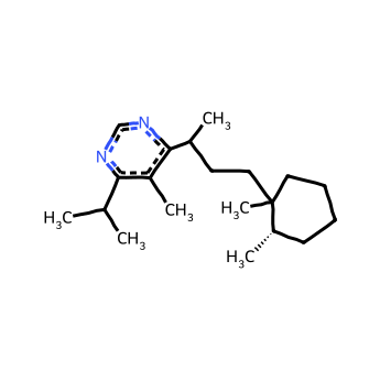 Cc1c(C(C)C)ncnc1C(C)CCC1(C)CCCC[C@@H]1C